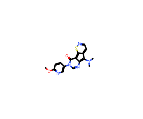 COc1ccc(-n2cnc3c(N(C)C)c4ccnsc-4c3c2=O)cn1